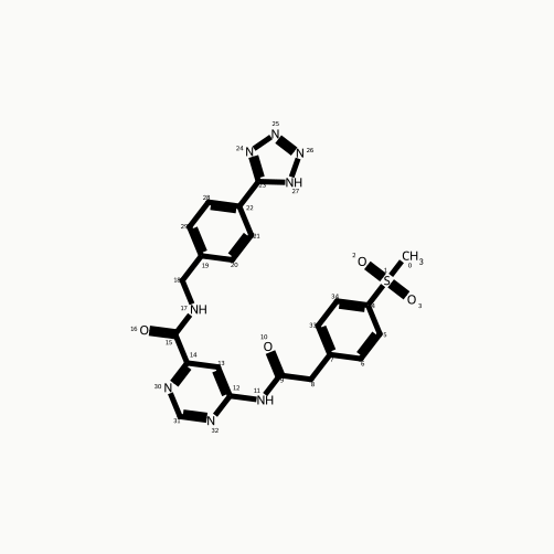 CS(=O)(=O)c1ccc(CC(=O)Nc2cc(C(=O)NCc3ccc(-c4nnn[nH]4)cc3)ncn2)cc1